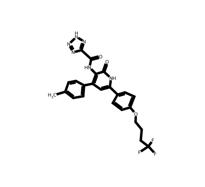 Cc1ccc(-c2cc(-c3ccc(OCCCC(F)(F)F)cc3)[nH]c(=O)c2NC(=O)c2nn[nH]n2)cc1